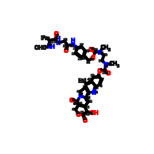 CCc1c2c(nc3ccc(OC(=O)N(C)CCN(C)C(=O)OCc4ccc(NC(=O)CNC(=O)C(NC=O)C(C)C)cc4)cc13)-c1cc3c(c(=O)n1C2)COC(=O)C3O